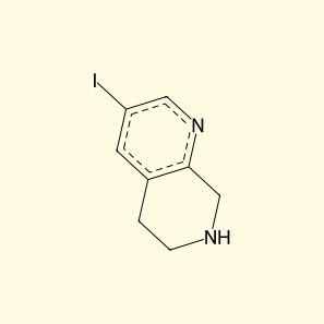 Ic1cnc2c(c1)CCNC2